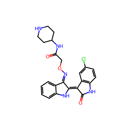 O=C(CO/N=C1/C(=C2/C(=O)Nc3ccc(Cl)cc32)Nc2ccccc21)NC1CCNCC1